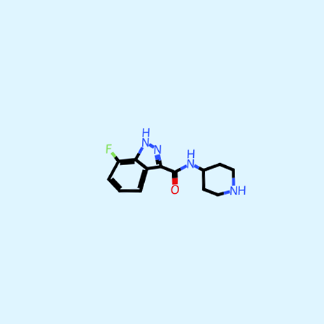 O=C(NC1CCNCC1)c1n[nH]c2c(F)cccc12